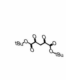 CC(C)(C)OC(=O)C(=O)CC(=O)C(=O)OC(C)(C)C